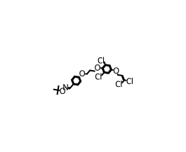 CC(C)(C)O/N=C/c1ccc(OCCCOc2c(Cl)cc(OCC=C(Cl)Cl)cc2Cl)cc1